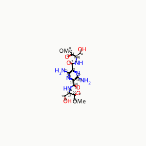 COC(=O)[C@@H](CO)NC(=O)c1nc(N)c(C(=O)N[C@H](CO)C(=O)OC)nc1N